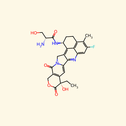 CC[C@@]1(O)C(=O)OCc2c1cc1n(c2=O)Cc2c-1nc1cc(F)c(C)c3c1c2[C@@H](NC(=O)[C@H](N)CO)CC3